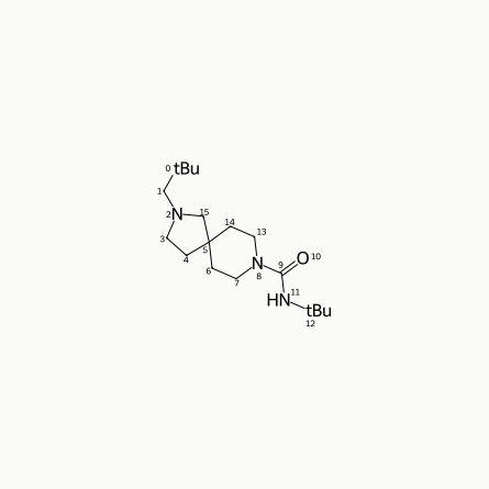 CC(C)(C)CN1CCC2(CCN(C(=O)NC(C)(C)C)CC2)C1